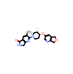 Cc1cc2c(nc1N1CC[C@@H](Oc3cnc4c(c3)COC4)[C@@H](F)C1)CNC2=O